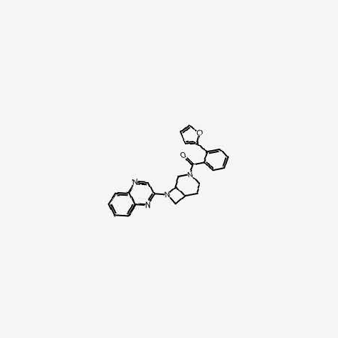 O=C(c1ccccc1-c1ccco1)N1CCC2CN(c3cnc4ccccc4n3)C2C1